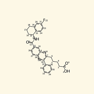 O=C(O)CCCCc1nc2cc(C(=O)N[C@H]3CCCc4cc(F)ccc43)ccc2nc1-c1ccccc1